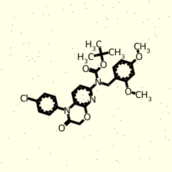 COc1ccc(CN(C(=O)OC(C)(C)C)c2ccc3c(n2)OCC(=O)N3c2ccc(Cl)cc2)c(OC)c1